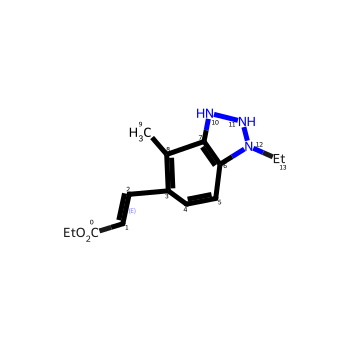 CCOC(=O)/C=C/c1ccc2c(c1C)NNN2CC